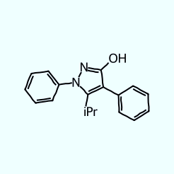 CC(C)c1c(-c2ccccc2)c(O)nn1-c1ccccc1